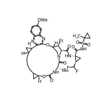 CC[C@@H]1[C@@H]2CN(C(=O)[C@H](C(C)(C)C)NC(=O)O[C@@H]3CC3CCC[C@@H]3C[C@H]3c3nc4ccc(OC)cc4nc3O2)[C@@H]1C(=O)N[C@]1(C(=O)NS(=O)(=O)C2(C)CC2)C[C@H]1C(F)F